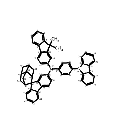 CC1(C)c2ccccc2-c2ccc(N(c3ccc(-n4c5ccccc5c5ccccc54)cc3)c3ccc4c(c3)C3(c5ccccc5-4)C4CC5CC(C4)CC3C5)cc21